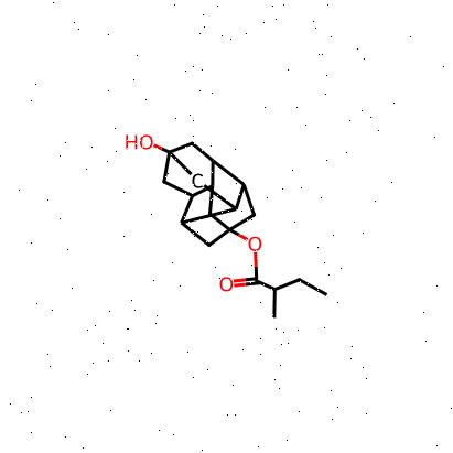 CCC(C)C(=O)OC12CC3C4CC5(O)CC3C(C1)C(C5)C4C2